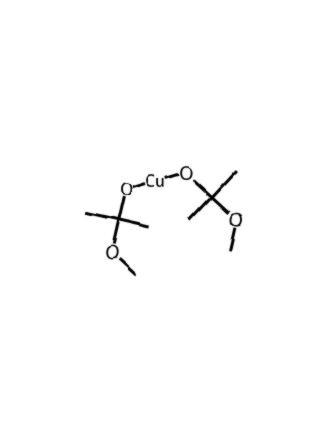 COC(C)(C)[O][Cu][O]C(C)(C)OC